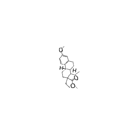 CCC1[C@@H]2CCc3cc(OC)ccc3[C@H]2CCC1(CC)C(=O)OC